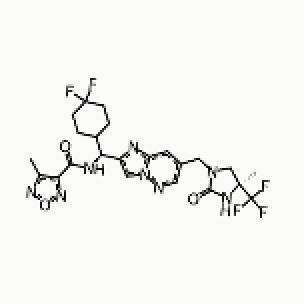 Cc1nonc1C(=O)N[C@H](c1cn2ncc(CN3C[C@@](C)(C(F)(F)F)NC3=O)cc2n1)C1CCC(F)(F)CC1